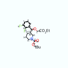 CCOC(=O)CO[C@H](c1cccc(F)c1F)[C@@H]1CCCN(C(=O)OC(C)(C)C)C1